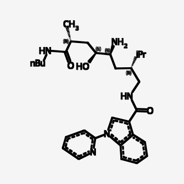 CCCCNC(=O)[C@H](C)C[C@H](O)[C@@H](N)C[C@@H](CNC(=O)c1cn(-c2ccccn2)c2ccccc12)C(C)C